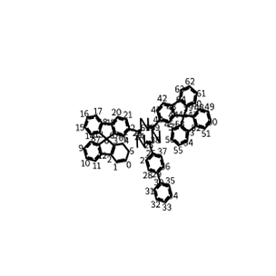 C1=CC2=C(CC1)C1(c3ccccc32)c2ccccc2-c2ccc(-c3nc(-c4ccc(-c5ccccc5)cc4)nc(-c4ccc5c(c4)C4(c6ccccc6-c6ccccc64)c4ccccc4-5)n3)cc21